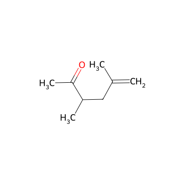 C=C(C)CC(C)C(C)=O